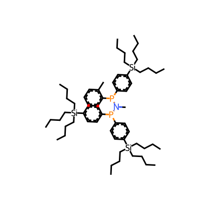 CCCC[Si](CCCC)(CCCC)c1ccc(P(c2ccc([Si](CCCC)(CCCC)CCCC)cc2)N(C)P(c2ccc([Si](CCCC)(CCCC)CCCC)cc2)c2ccccc2C)cc1